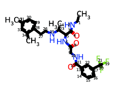 CCNC(=O)C(NC(=O)CNC(=O)c1cccc(C(F)(F)F)c1)C(C)NCCc1ccc(C)cc1C